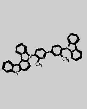 N#Cc1cc(-c2ccc(-n3c4ccccc4c4c5c(ccc43)sc3ccccc35)c(C#N)c2)ccc1-n1c2ccccc2c2ccccc21